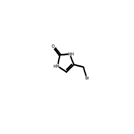 O=c1[nH]cc(CBr)[nH]1